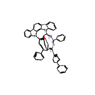 C1=C(c2ccc(-c3ccccc3)cc2)/N=C(c2ccccc2)\N=C(\n2c3ccccc3c3ccc4c5ccccc5n(-c5cccc(-c6ccccc6)c5)c4c32)CCC/1